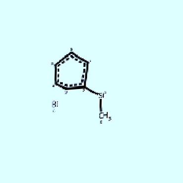 C[Si]c1ccccc1.[B]